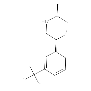 C[C@H]1CO[C@@H](C2C=C(C(F)(F)F)C=CC2)CN1